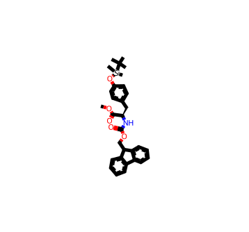 COC(=O)[C@@H](Cc1ccc(O[Si](C)(C)C(C)(C)C)cc1)NC(=O)OCC1c2ccccc2-c2ccccc21